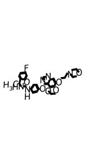 C[C@@H](NC(=O)Nc1ccc(Oc2ncnc3cc(OCCCN4CCOCC4)c4c(c23)OCCO4)cc1)c1ccc(F)cc1